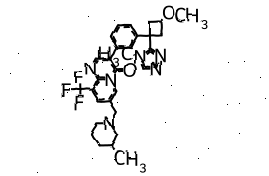 COC1CC(c2cccc(-c3cnc4c(C(F)(F)F)cc(CN5CCC[C@H](C)C5)cn4c3=O)c2)(c2nncn2C)C1